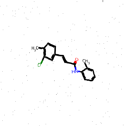 Cc1ccc(C=CC(=O)Nc2ccccc2C)cc1Cl